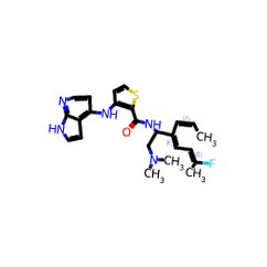 C\C=C/C(=C\C=C(/C)F)C(CN(C)C)NC(=O)c1sccc1Nc1ccnc2[nH]ccc12